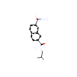 CC(C)CNC(=O)c1ccc2ccc(C(N)=O)cc2c1